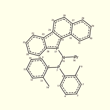 Cc1ccccc1P(c1ccccc1C)N(C(C)C)p1c2ccccc2c2ccc3ccccc3c21